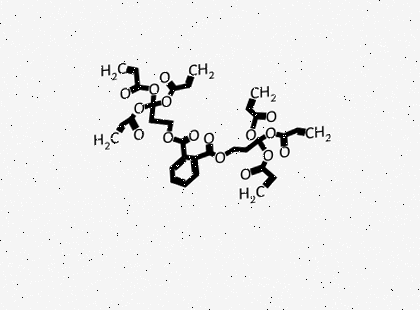 C=CC(=O)OC(CCOC(=O)c1ccccc1C(=O)OCCC(OC(=O)C=C)(OC(=O)C=C)OC(=O)C=C)(OC(=O)C=C)OC(=O)C=C